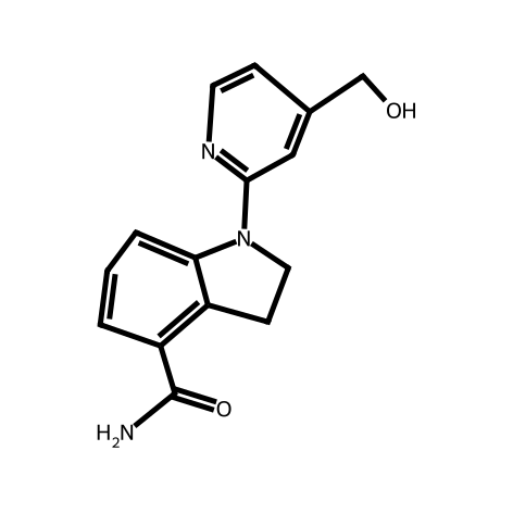 NC(=O)c1cccc2c1CCN2c1cc(CO)ccn1